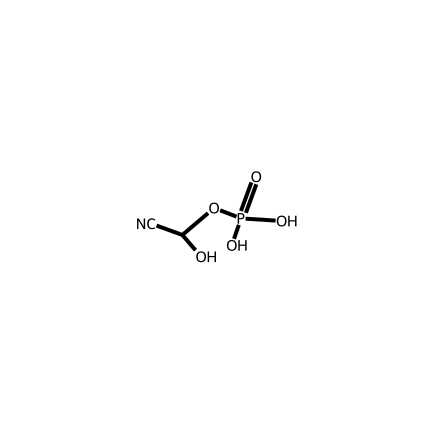 N#CC(O)OP(=O)(O)O